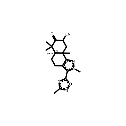 Cc1noc(-c2c3c(nn2C)C2(C)CC(C#N)C(=O)C(C)(C)[C@@H]2CC3)n1